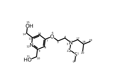 CSSN(CCOc1cc(CO)nc(CO)c1)CC(C)C